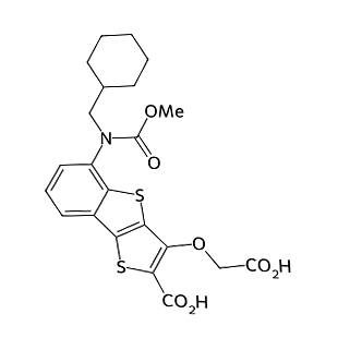 COC(=O)N(CC1CCCCC1)c1cccc2c1sc1c(OCC(=O)O)c(C(=O)O)sc12